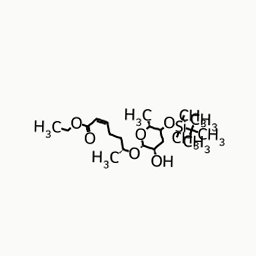 CCOC(=O)/C=C\CC[C@@H](C)O[C@@H]1O[C@@H](C)C(O[Si](C)(C)C(C)(C)C)C[C@H]1O